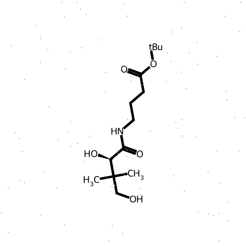 CC(C)(C)OC(=O)CCCNC(=O)[C@H](O)C(C)(C)CO